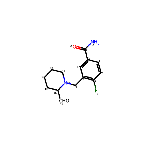 NC(=O)c1ccc(F)c(CN2CCCCC2C=O)c1